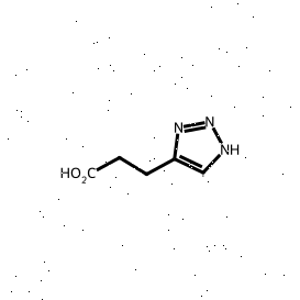 O=C(O)CCc1[c][nH]nn1